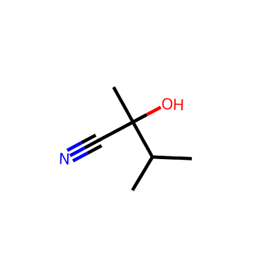 CC(C)C(C)(O)C#N